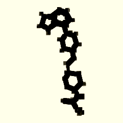 O=C(N[C@H]1CC[C@H](CCN2CCN(c3cccc4c3OCO4)CC2)CC1)C(F)(F)F